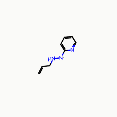 C=CCN[N]c1ccccn1